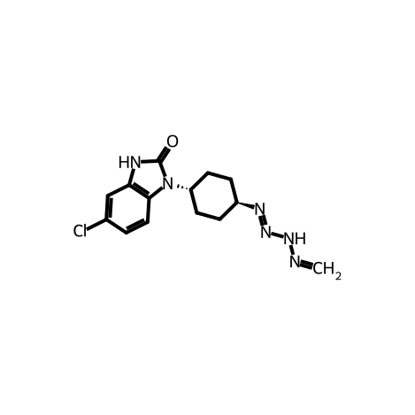 C=NNN=N[C@H]1CC[C@H](n2c(=O)[nH]c3cc(Cl)ccc32)CC1